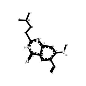 C=Cc1cc2c(=O)[nH]c(CCC(C)C)nc2cc1OC